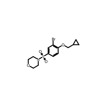 O=S(=O)(c1ccc(OCC2CC2)c(Br)c1)N1CCOCC1